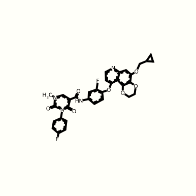 Cn1cc(C(=O)Nc2ccc(Oc3ccnc4cc(OCC5CC5)c5c(c34)OCCO5)c(F)c2)c(=O)n(-c2ccc(F)cc2)c1=O